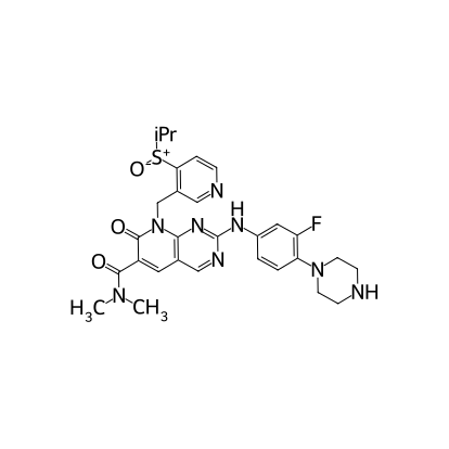 CC(C)[S+]([O-])c1ccncc1Cn1c(=O)c(C(=O)N(C)C)cc2cnc(Nc3ccc(N4CCNCC4)c(F)c3)nc21